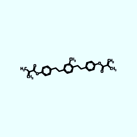 C=C(C)C(=O)Oc1ccc(CCc2ccc(CCc3ccc(OC(=O)C(=C)C)cc3)c(C)c2)cc1